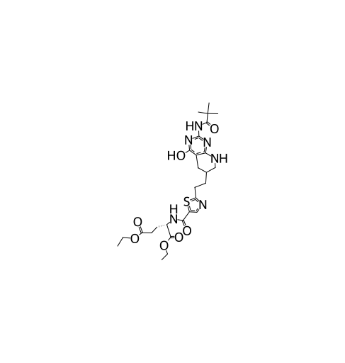 CCOC(=O)CC[C@H](NC(=O)c1cnc(CCC2CNc3nc(NC(=O)C(C)(C)C)nc(O)c3C2)s1)C(=O)OCC